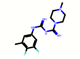 Cc1cc(NC(=N)NC(=N)N2CCN(C)CC2)cc(F)c1F